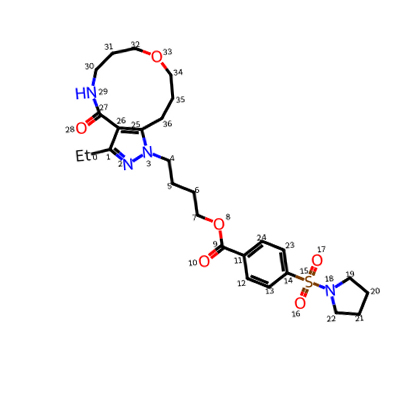 CCc1nn(CCCCOC(=O)c2ccc(S(=O)(=O)N3CCCC3)cc2)c2c1C(=O)NCCCOCCC2